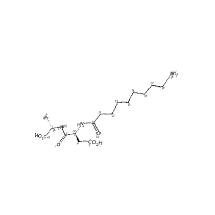 CC(C)[C@H](NC(=O)[C@H](CC(=O)O)NC(=O)CCCCCCCCN)C(=O)O